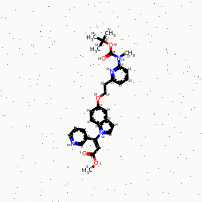 COC(=O)C=C(c1cccnc1)n1ccc2cc(OCCc3cccc(N(C)C(=O)OC(C)(C)C)n3)ccc21